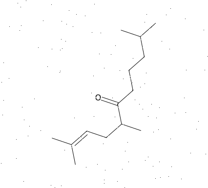 CC(C)=CCC(C)C(=O)CCCC(C)C